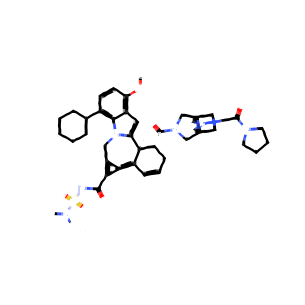 COc1ccc(C2CCCCC2)c2c1cc1n2CC2=C(C(=O)NS(=O)(=O)N(C)C)C2=C2C=CC[C@@H](C(=O)N3CC45CCC4(C3)CN(C(=O)N3CCCC3)C5)[C@@H]21